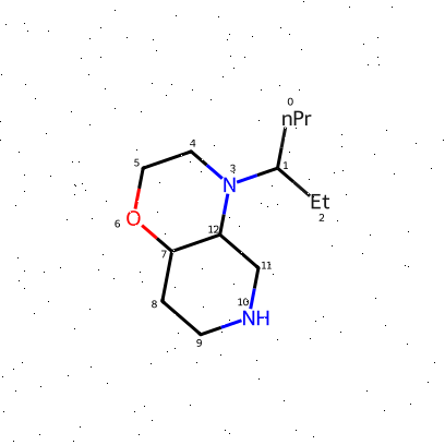 CCCC(CC)N1CCOC2CCNCC21